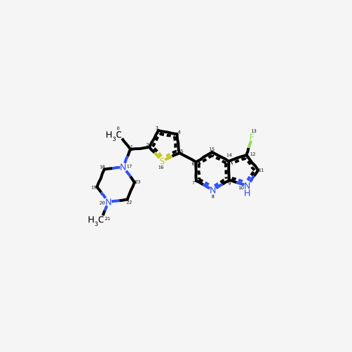 CC(c1ccc(-c2cnc3[nH]cc(F)c3c2)s1)N1CCN(C)CC1